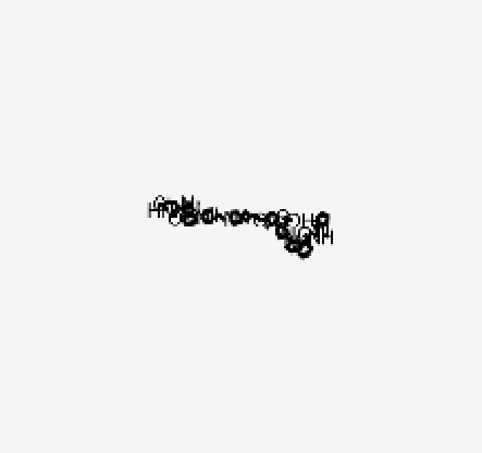 Cc1c(OCC2CC3(CCN(CCN4CCN(c5cccc6c(C7CCC(=O)NC7=O)nn(C)c56)CC4)CC3)C2)cccc1-c1ccc(N2CCc3cccc(C(=O)Nc4nc5ccccc5s4)c3C2)nc1C(=O)O